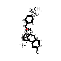 CN1CC[C@]2(C)c3cc(O)ccc3C[C@@H]1[C@H]2NCCc1ccc(S(C)(=O)=O)cc1